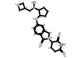 CCN(CC1COC1)C1CCCC1Oc1ccc2c(c1)CN(C1CCC(=O)NC1=O)C2=O